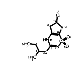 CCC(C)SC1=NS(=O)(=O)C2=C(CC(Cl)S2)N1